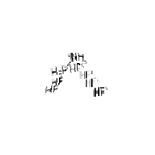 F.F.F.F.F.F.NP